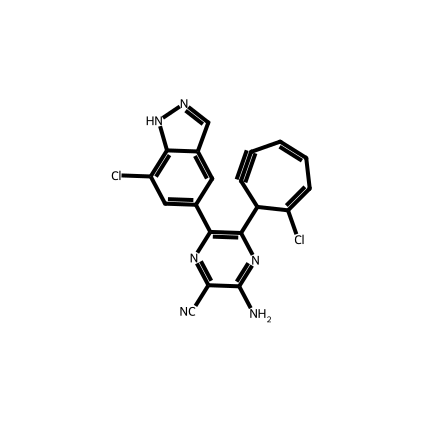 N#Cc1nc(-c2cc(Cl)c3[nH]ncc3c2)c(C2C#CC=CC=C2Cl)nc1N